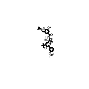 COc1cc(C(=O)NC[C@](O)(c2cc3c(c(-c4cccc(OC(F)F)c4)n2)OCC3(C)C)C(F)(F)F)cc2cn(C3CC3)nc12